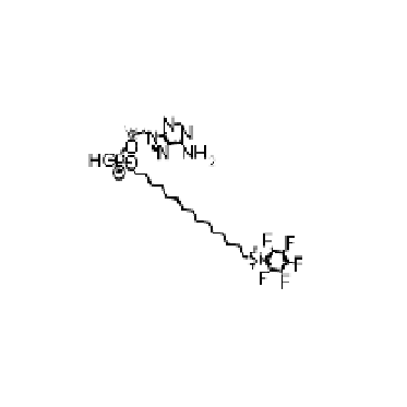 C[C@H](Cn1cnc2c(N)ncnc21)OCP(=O)(O)OCCCCCCCCCCCCCCC[Si](C)(C)c1c(F)c(F)c(F)c(F)c1F